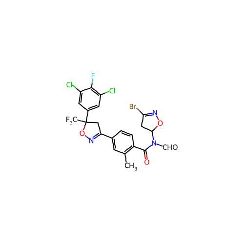 Cc1cc(C2=NOC(c3cc(Cl)c(F)c(Cl)c3)(C(F)(F)F)C2)ccc1C(=O)N(C=O)C1CC(Br)=NO1